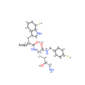 CC(=O)N[C@@H](Cc1c[nH]c2c(F)cccc12)C(=O)N[C@@H](CCC(=O)C=N)C(=O)NCc1ccc(F)cc1